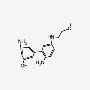 COCCNc1ccc(N)c(-c2cc(N)cc(O)c2)c1